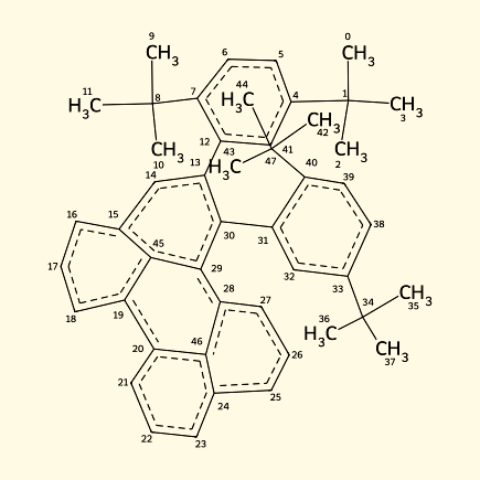 CC(C)(C)c1ccc(C(C)(C)C)c(-c2cc3cccc4c5cccc6cccc(c(c2-c2cc(C(C)(C)C)ccc2C(C)(C)C)c34)c65)c1